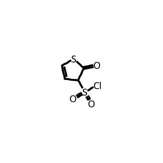 O=C1SC=CC1S(=O)(=O)Cl